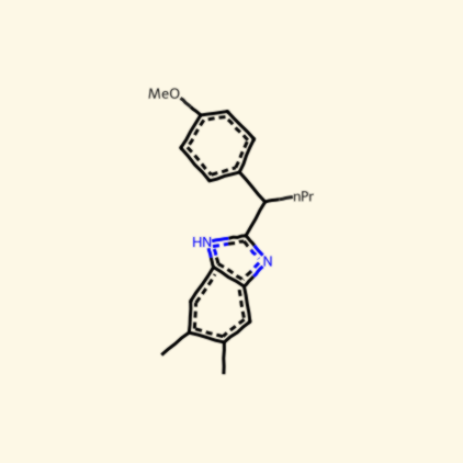 CCCC(c1ccc(OC)cc1)c1nc2cc(C)c(C)cc2[nH]1